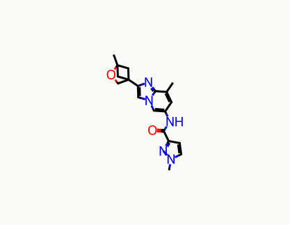 Cc1cc(NC(=O)c2ccn(C)n2)cn2cc(C34COC(C)(C3)C4)nc12